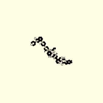 C=CC(=O)Nc1cc(Nc2nc(-c3ccnc(N4CCn5c(cc6c5CC(C)(C)C6)C4=O)c3CO)cn(C)c2=O)ccc1N1CCN(C2CCN(c3cccc4c3CN(C3CCOCC3)C4=O)[C@@H](C)C2)C[C@@H]1C